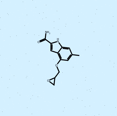 Cc1cc(OCC2CO2)c2cc(C(N)=O)[nH]c2c1